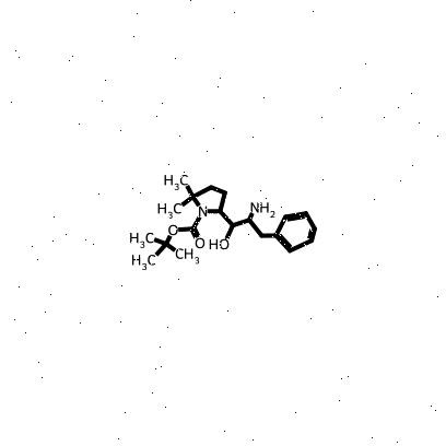 CC(C)(C)OC(=O)N1C(C(O)C(N)Cc2ccccc2)CCC1(C)C